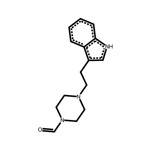 O=[C]N1CCN(CCc2c[nH]c3ccccc23)CC1